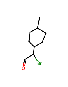 CC1CCC(C(Br)C=O)CC1